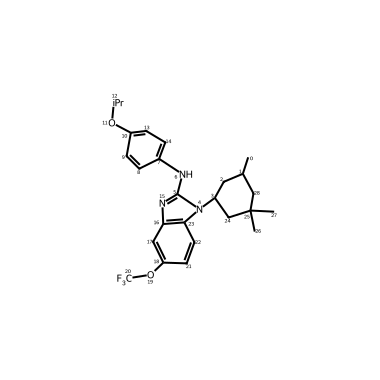 CC1CC(n2c(Nc3ccc(OC(C)C)cc3)nc3cc(OC(F)(F)F)ccc32)CC(C)(C)C1